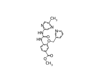 COC(=O)c1ccc(NC(=O)Nc2cnc(C)cn2)c(OCc2cccnc2)c1